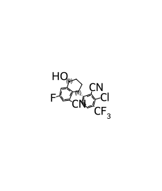 N#Cc1cc(F)cc2c1[C@@H](c1ccc(C(F)(F)F)c(Cl)c1C#N)CC[C@H]2O